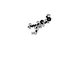 CC(C)Cc1cccc2nc(Cn3cccc(NC(=O)[C@H](CC/C=C/C(=O)N(C)C)NC(=O)OCCO)c3=O)oc12